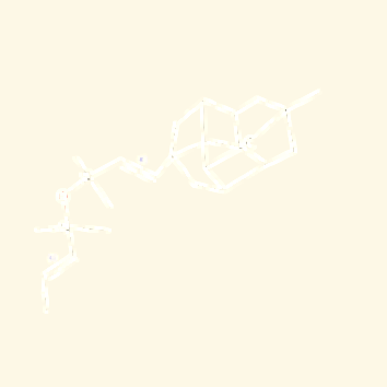 C/C=C/[Si](C)(C)O[Si](C)(C)/C=C/C12CC3C4CC5(C)CC3C(C1)C(C5)C4C2